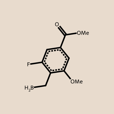 BCc1c(F)cc(C(=O)OC)cc1OC